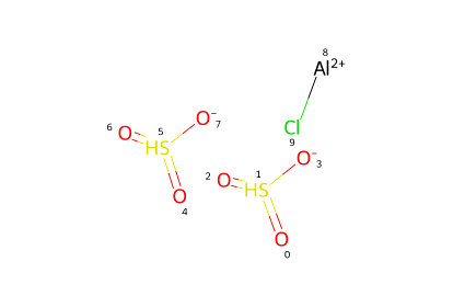 O=[SH](=O)[O-].O=[SH](=O)[O-].[Al+2][Cl]